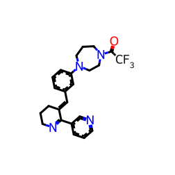 O=C(N1CCCN(c2cccc(C=C3CCCN=C3c3cccnc3)c2)CC1)C(F)(F)F